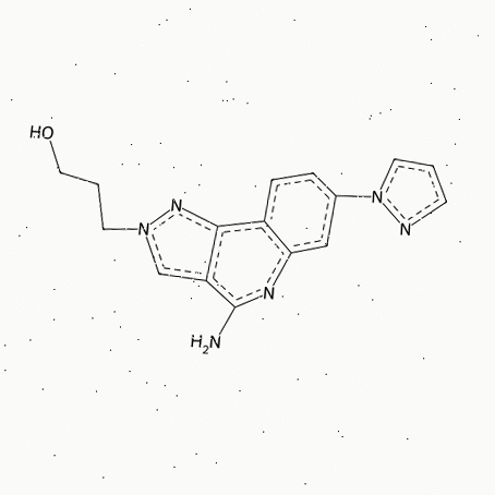 Nc1nc2cc(-n3cccn3)ccc2c2nn(CCCO)cc12